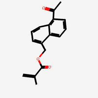 C=C(C)C(=O)OCc1cccc2c(C(C)=O)cccc12